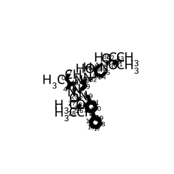 CC(C)c1cnn2c(N(Cc3ccc(-c4ccccc4)cc3)C(=O)OC(C)(C)C)cc(NC[C@H]3CCN(C(=O)OC(C)(C)C)C[C@@H]3O)nc12